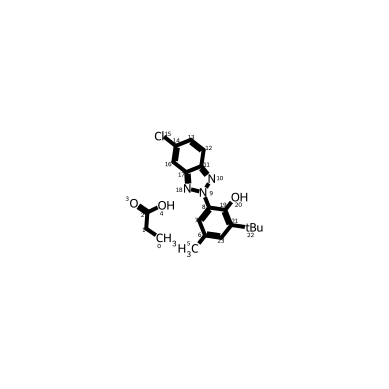 CCC(=O)O.Cc1cc(-n2nc3ccc(Cl)cc3n2)c(O)c(C(C)(C)C)c1